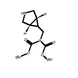 CC(C)(C)OC(=O)N(CC1[C@H]2CNC[C@@H]12)C(=O)OC(C)(C)C